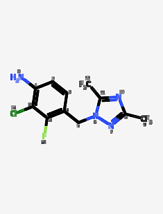 Nc1ccc(Cn2nc(C(F)(F)F)nc2C(F)(F)F)c(F)c1Cl